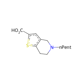 CCCCCN1CCc2sc(C(=O)O)cc2C1